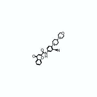 N#Cc1cc(NC(=O)c2cc(=O)c3ccccc3o2)ccc1N1CCC(N2CCOCC2)CC1